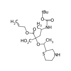 C=CCOC(=O)C(CC(C)NC(=O)OC(C)(C)C)(OC(C)C1CNCCS1)C(=O)O